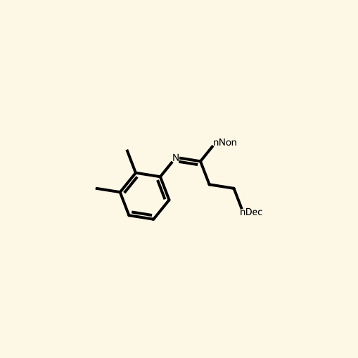 CCCCCCCCCCCCC(CCCCCCCCC)=Nc1cccc(C)c1C